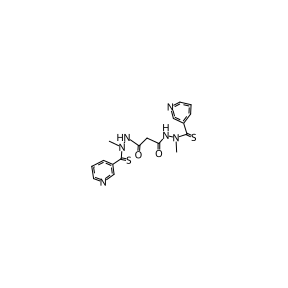 CN(NC(=O)CC(=O)NN(C)C(=S)c1cccnc1)C(=S)c1cccnc1